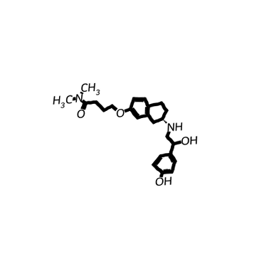 CN(C)C(=O)CCCOc1ccc2c(c1)C[C@@H](NCC(O)c1ccc(O)cc1)CC2